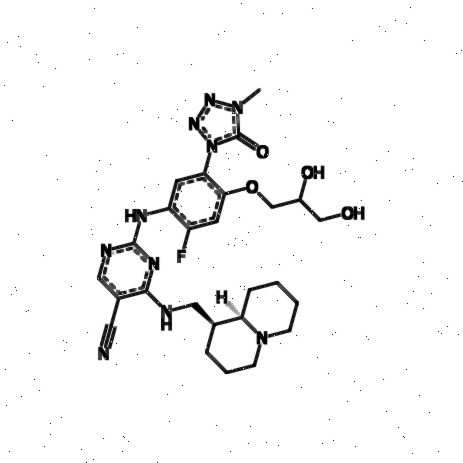 Cn1nnn(-c2cc(Nc3ncc(C#N)c(NC[C@@H]4CCCN5CCCC[C@H]45)n3)c(F)cc2OCC(O)CO)c1=O